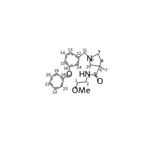 COCCNC(=O)C1(C)CCN(Cc2cccc(Oc3ccccc3)c2)C1